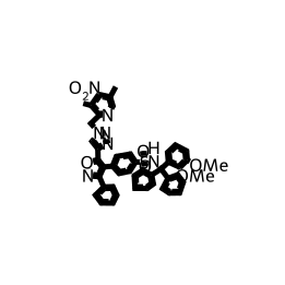 COc1cccc(C(NS(=O)(=O)c2ccc(-c3c(-c4ccccc4)noc3-c3cn(Cc4ncc(C)c([N+](=O)[O-])c4C)nn3)cc2)(c2ccccc2)c2ccccc2)c1OC